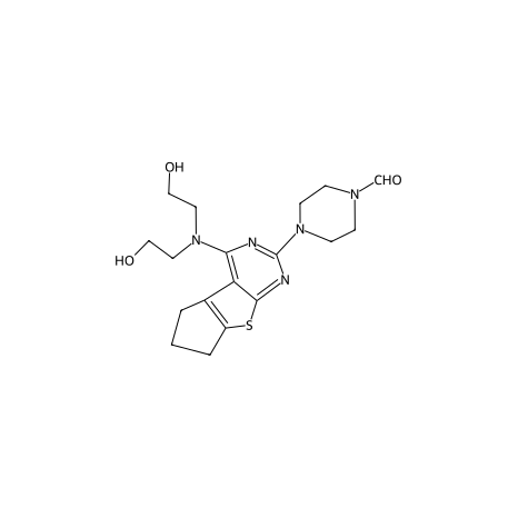 O=CN1CCN(c2nc(N(CCO)CCO)c3c4c(sc3n2)CCC4)CC1